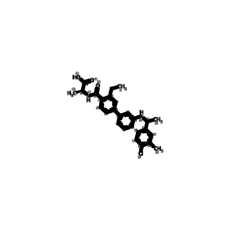 CCc1cc(-c2cccc(NC(C)c3ccc(Cl)c(C)c3)c2)ccc1C(=O)N[C@@H](C)C(=O)O